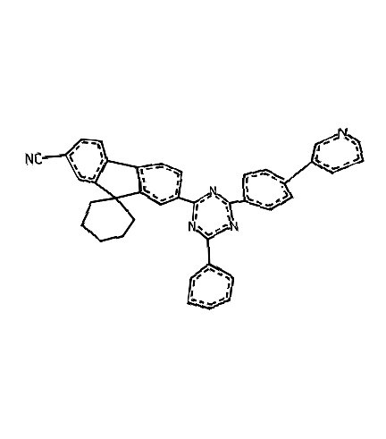 N#Cc1ccc2c(c1)C1(CCCCC1)c1cc(-c3nc(-c4ccccc4)nc(-c4ccc(-c5cccnc5)cc4)n3)ccc1-2